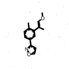 COC=C(C)c1cc(-c2ccon2)ccc1C